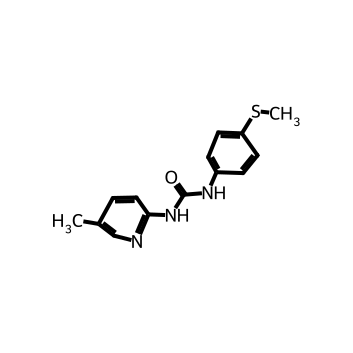 CSc1ccc(NC(=O)Nc2ccc(C)cn2)cc1